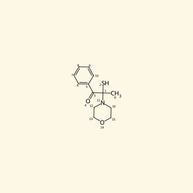 CC(S)(C(=O)c1ccccc1)N1CCOCC1